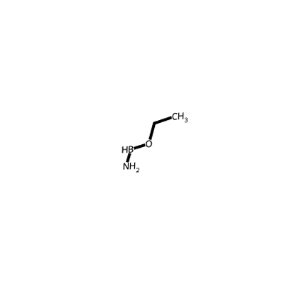 CCOBN